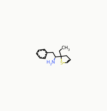 CCC1([C@@H](N)Cc2ccccc2)CC=CS1